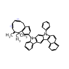 C=C1/C=C\C=C/Cc2ccc(-n3c4ccccc4c4cc5c6c7ccccc7ccc6n(-c6ccccc6)c5cc43)cc2C1(C)C